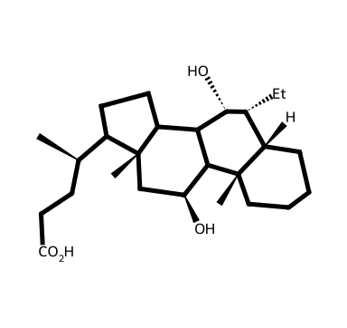 CC[C@H]1[C@@H](O)C2C3CCC([C@H](C)CCC(=O)O)[C@@]3(C)C[C@H](O)C2[C@@]2(C)CCCC[C@@H]12